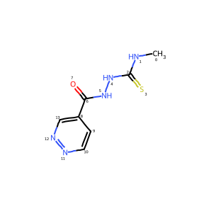 CNC(=S)NNC(=O)c1ccnnc1